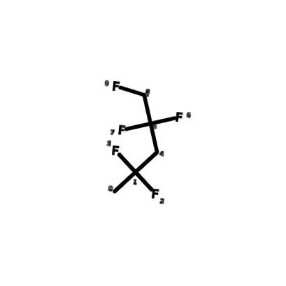 CC(F)(F)CC(F)(F)[CH]F